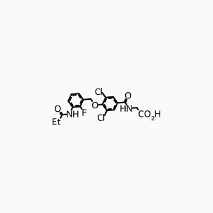 CCC(=O)Nc1cccc(COc2c(Cl)cc(C(=O)NCC(=O)O)cc2Cl)c1F